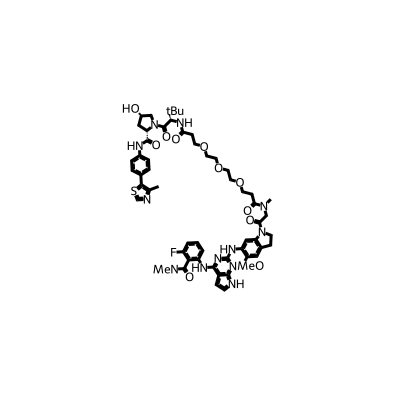 CNC(=O)c1c(F)cccc1Nc1nc(Nc2cc3c(cc2OC)CCN3C(=O)CN(C)C(=O)CCOCCOCCOCCC(=O)N[C@H](C(=O)N2C[C@H](O)C[C@H]2C(=O)Nc2ccc(-c3scnc3C)cc2)C(C)(C)C)nc2[nH]ccc12